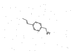 CC=Cc1ccc(CC(C)C)cc1